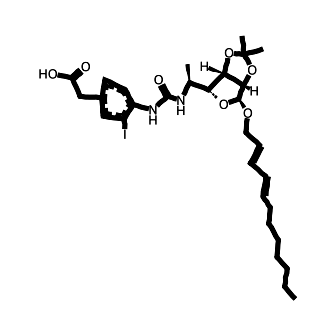 CCCCCCC/C=C/C=C/CO[C@H]1O[C@H]([C@H](C)NC(=O)Nc2ccc(CC(=O)O)cc2I)[C@@H]2OC(C)(C)O[C@H]12